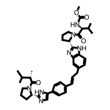 COC(=O)N[C@H](C(=O)N1CCC[C@H]1c1nc2cc(CC=Cc3ccc(-c4cnc([C@@H]5CCCN5C(=O)[C@@H](C)C(C)C)[nH]4)cc3)ccc2[nH]1)C(C)C